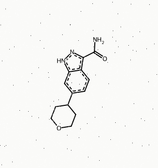 NC(=O)c1n[nH]c2cc(C3CCOCC3)ccc12